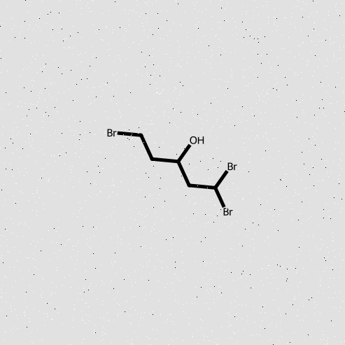 OC(CCBr)CC(Br)Br